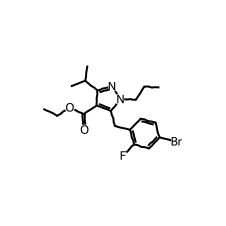 CCCn1nc(C(C)C)c(C(=O)OCC)c1Cc1ccc(Br)cc1F